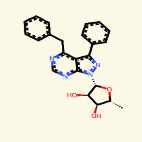 C[C@H]1O[C@@H](n2nc(-c3ccccc3)c3c(Cc4ccccc4)ncnc32)[C@H](O)[C@@H]1O